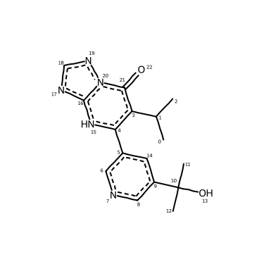 CC(C)c1c(-c2cncc(C(C)(C)O)c2)[nH]c2ncnn2c1=O